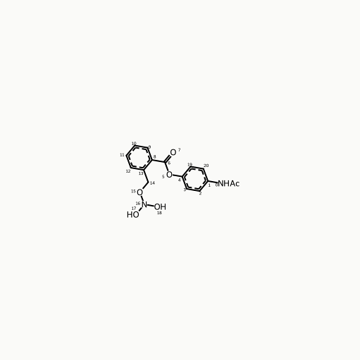 CC(=O)Nc1ccc(OC(=O)c2ccccc2CON(O)O)cc1